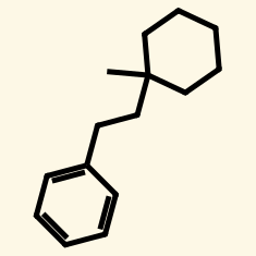 CC1(CCc2ccccc2)CCCCC1